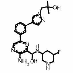 CC(C)(O)Cn1cc(-c2cccc(-c3cnc(N)c(C(O)NC4CNCC(F)C4)n3)c2)cn1